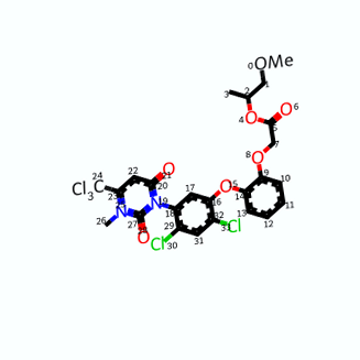 COCC(C)OC(=O)COc1ccccc1Oc1cc(-n2c(=O)cc(C(Cl)(Cl)Cl)n(C)c2=O)c(Cl)cc1Cl